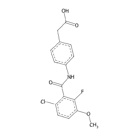 COc1ccc(Cl)c(C(=O)Nc2ccc(CC(=O)O)cc2)c1F